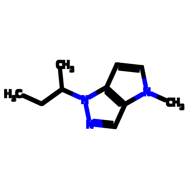 CCC(C)n1ncc2c1ccn2C